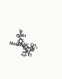 CCC1c2nnc(C)n2-c2cnc(Nc3ccc(C(=O)NC4CC4)cc3OC)nc2N1C1CCCC1